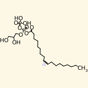 CCCCCCCC/C=C\CCCCCCCC(=O)OP(=O)(OCC(O)CO)OP(=O)(O)O